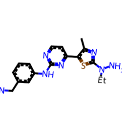 CCN(N)c1nc(C)c(-c2ccnc(Nc3cccc(CN)c3)n2)s1